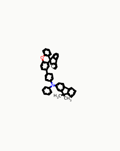 CC1(C)c2ccccc2-c2ccc(N(c3ccccc3)c3ccc(-c4ccc5c(c4)C4(c6ccccc6O5)c5ccccc5-c5ccccc54)cc3)cc21